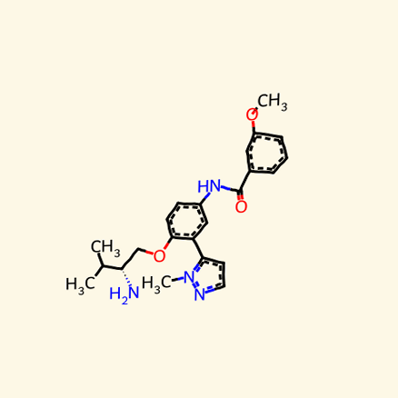 COc1cccc(C(=O)Nc2ccc(OC[C@H](N)C(C)C)c(-c3ccnn3C)c2)c1